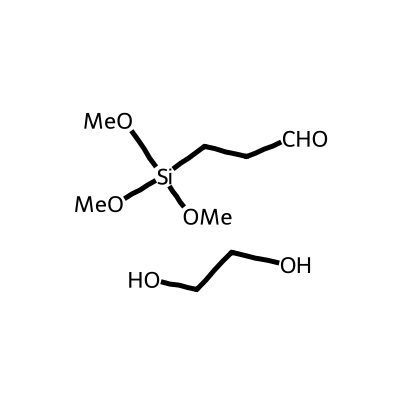 CO[Si](CCC=O)(OC)OC.OCCO